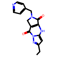 CCc1cc2[nH]c3c(c(=O)n2n1)CN(Cc1ccncc1)C3=O